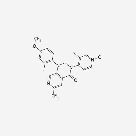 Cc1c[n+]([O-])ccc1N1CN(c2ccc(OC(F)(F)F)cc2C)c2cnc(C(F)(F)F)cc2C1=O